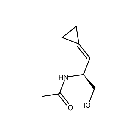 CC(=O)N[C@@H](C=C1CC1)CO